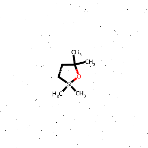 CC1(C)CC[Si](C)(C)O1